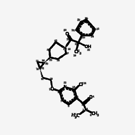 CN(C)C(=O)c1ccc(OCC[C@@H]2C[C@@H]2C2CCN(C(=O)C(O)(c3ccccc3)C(F)(F)F)CC2)nc1Cl